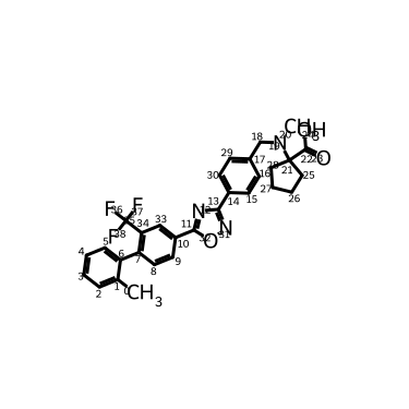 Cc1ccccc1-c1ccc(-c2nc(-c3ccc(CN(C)C4(C(=O)O)CCCC4)cc3)no2)cc1C(F)(F)F